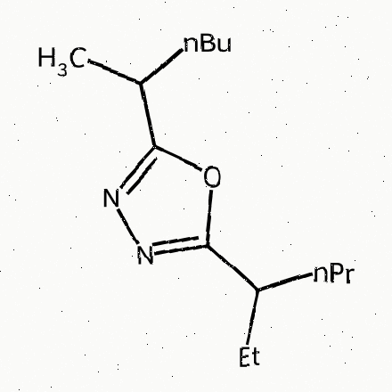 CCCCC(C)c1nnc(C(CC)CCC)o1